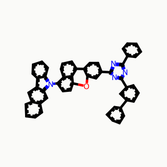 c1ccc(-c2cccc(-c3nc(-c4ccccc4)nc(-c4ccc5c(c4)Oc4ccc(-n6c7ccccc7c7cc8ccccc8cc76)c6cccc-5c46)n3)c2)cc1